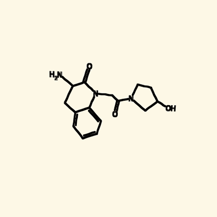 NC1Cc2ccccc2N(CC(=O)N2CCC(O)C2)C1=O